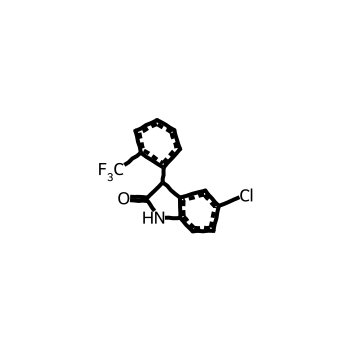 O=C1Nc2ccc(Cl)cc2C1c1ccccc1C(F)(F)F